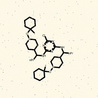 CCCC(Nc1nc(Cl)nc(NC(CCC)C2CCN(OC3(I)CCCCC3)CC2)n1)C1CCN(OC2(I)CCCCC2)CC1